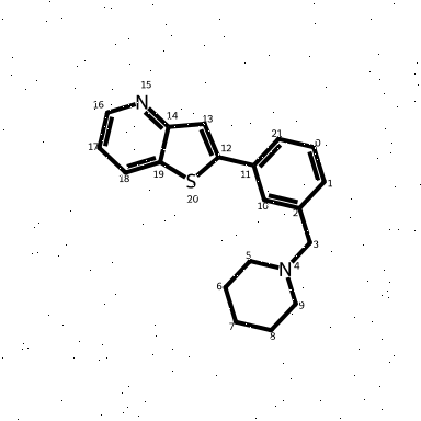 c1cc(CN2CCCCC2)cc(-c2cc3ncccc3s2)c1